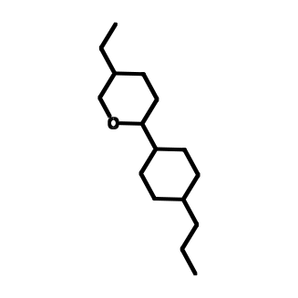 CCCC1CCC(C2CCC(CC)CO2)CC1